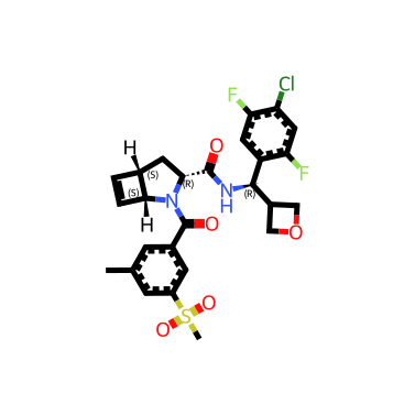 Cc1cc(C(=O)N2[C@@H](C(=O)N[C@@H](c3cc(F)c(Cl)cc3F)C3COC3)C[C@H]3C=C[C@H]32)cc(S(C)(=O)=O)c1